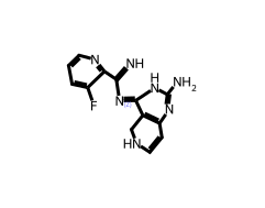 N=C(/N=c1\[nH]c(N)nc2c1CNC=C2)c1ncccc1F